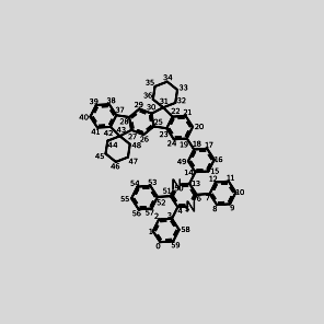 c1ccc(-c2nc(-c3ccccc3)c(-c3cccc(-c4ccc5c(c4)-c4cc6c(cc4C54CCCCC4)-c4ccccc4C64CCCCC4)c3)nc2-c2ccccc2)cc1